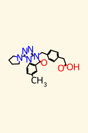 Cc1ccc2c(c1)c(=O)n(Cc1ccc(CC(=O)O)cc1)c1nnc(N3CCCC3)n21